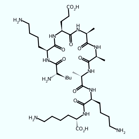 CC[C@H](C)[C@H](N)C(=O)N[C@@H](CCCCN)C(=O)N[C@@H](CCC(=O)O)C(=O)N[C@@H](C)C(=O)N[C@@H](C)C(=O)N[C@@H](C)C(=O)N[C@@H](CCCCN)C(=O)N[C@@H](CCCCN)C(=O)O